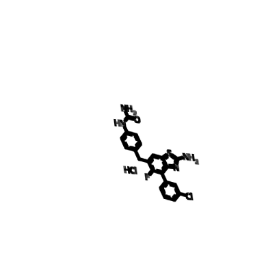 Cl.NC(=O)Nc1ccc(Cc2cc3sc(N)nc3c(-c3cccc(Cl)c3)c2F)cc1